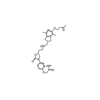 CNCCOc1nc(C)c2c(c1C)CC(CNCCC1CN(c3ccc4c(n3)NC(=O)CO4)C(=O)O1)C2